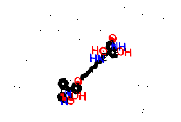 O=C(O)N(C(c1ccccc1)c1cccc(OCCCCCCCCCNC[C@H](O)c2ccc(O)c3[nH]c(=O)ccc23)c1)[C@H]1CN2CCC1CC2